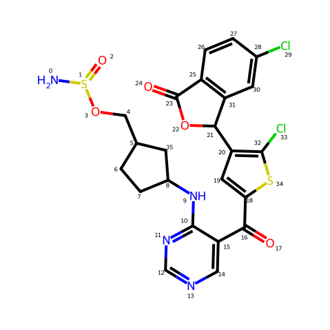 NS(=O)OCC1CCC(Nc2ncncc2C(=O)c2cc(C3OC(=O)c4ccc(Cl)cc43)c(Cl)s2)C1